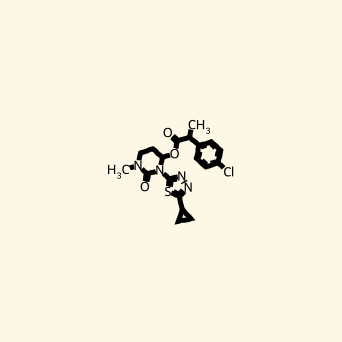 CC(C(=O)OC1CCN(C)C(=O)N1c1nnc(C2CC2)s1)c1ccc(Cl)cc1